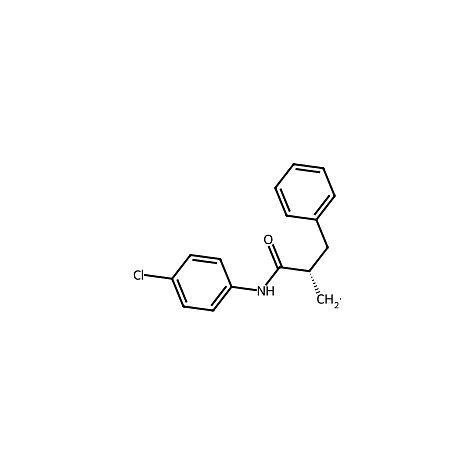 [CH2][C@@H](Cc1ccccc1)C(=O)Nc1ccc(Cl)cc1